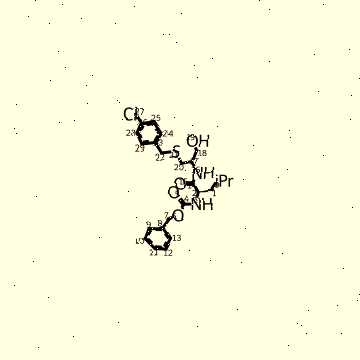 CC(C)C[C@@H](NC(=O)OCc1ccccc1)C(=O)NC(CO)CSCc1ccc(Cl)cc1